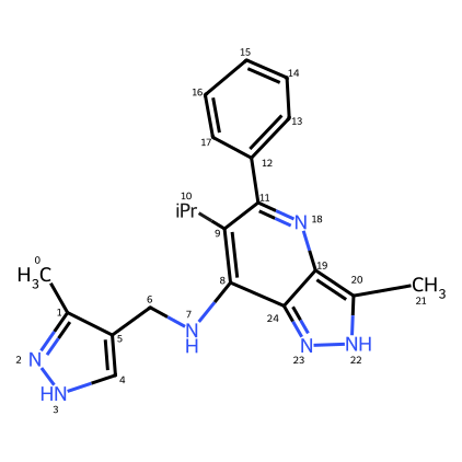 Cc1n[nH]cc1CNc1c(C(C)C)c(-c2ccccc2)nc2c(C)[nH]nc12